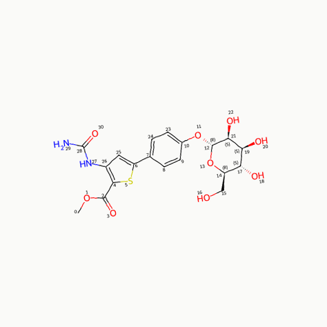 COC(=O)c1sc(-c2ccc(O[C@H]3O[C@H](CO)[C@@H](O)[C@H](O)[C@@H]3O)cc2)cc1NC(N)=O